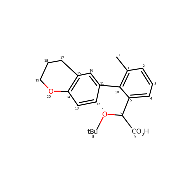 Cc1cccc(C(OC(C)(C)C)C(=O)O)c1-c1ccc2c(c1)CCCO2